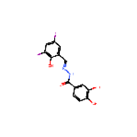 O=C(NN=Cc1cc(I)cc(I)c1O)c1ccc(O)c(O)c1